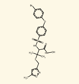 Cc1cc(CSC(C)(C)C(NS(=O)(=O)c2ccc(Oc3ccc(Br)cc3)cc2)C(=O)NO)no1